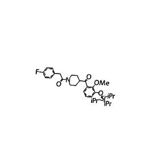 COc1c(O[Si](C(C)C)(C(C)C)C(C)C)cccc1C(=O)C1CCN(C(=O)Cc2ccc(F)cc2)CC1